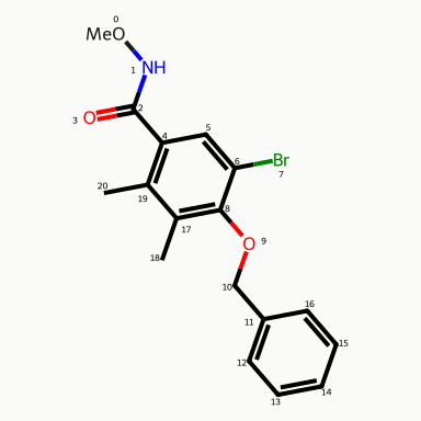 CONC(=O)c1cc(Br)c(OCc2ccccc2)c(C)c1C